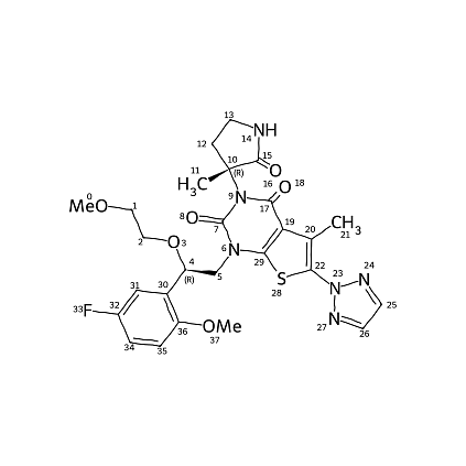 COCCO[C@@H](Cn1c(=O)n([C@]2(C)CCNC2=O)c(=O)c2c(C)c(-n3nccn3)sc21)c1cc(F)ccc1OC